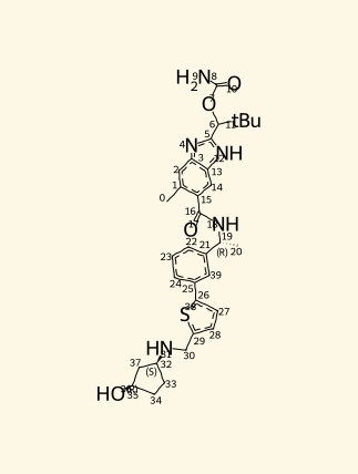 Cc1cc2nc(C(OC(N)=O)C(C)(C)C)[nH]c2cc1C(=O)N[C@H](C)c1cccc(-c2ccc(CN[C@H]3CC[C@@H](O)C3)s2)c1